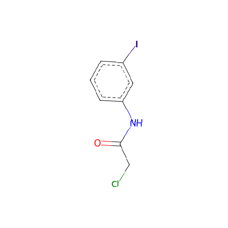 O=C(CCl)Nc1cccc(I)c1